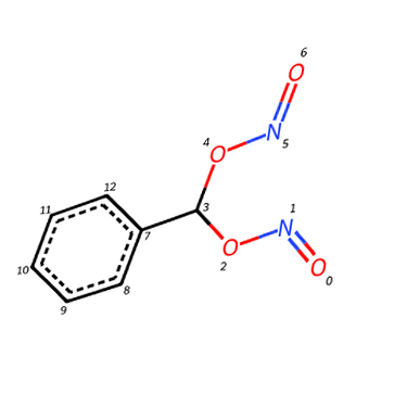 O=NOC(ON=O)c1ccccc1